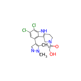 Cc1c(-c2cc(Cl)c(Cl)c3[nH]c4c(c23)CN(C(=O)CO)CC4)cnn1C